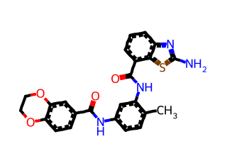 Cc1ccc(NC(=O)c2ccc3c(c2)OCCO3)cc1NC(=O)c1cccc2nc(N)sc12